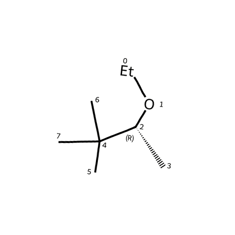 CCO[C@H](C)C(C)(C)C